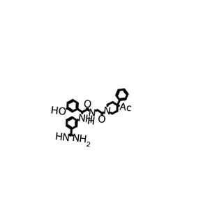 CC(=O)C1(c2ccccc2)CCN(C(=O)CNC(=O)C(Nc2cccc(C(=N)N)c2)c2cccc(O)c2)CC1